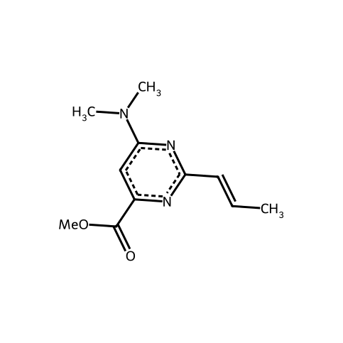 C/C=C/c1nc(C(=O)OC)cc(N(C)C)n1